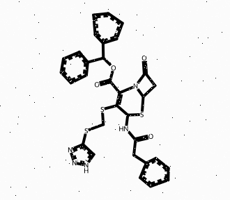 O=C(Cc1ccccc1)NC1SC2CC(=O)N2C(C(=O)OC(c2ccccc2)c2ccccc2)=C1SCSc1c[nH]nn1